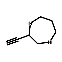 C#CC1CNCCCN1